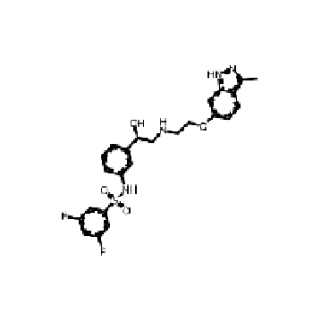 Cc1n[nH]c2cc(OCCNCC(O)c3cccc(NS(=O)(=O)c4cc(F)cc(F)c4)c3)ccc12